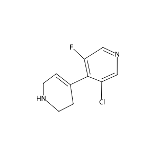 Fc1cncc(Cl)c1C1=CCNCC1